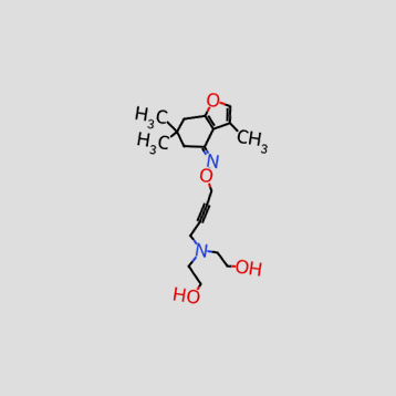 Cc1coc2c1/C(=N/OCC#CCN(CCO)CCO)CC(C)(C)C2